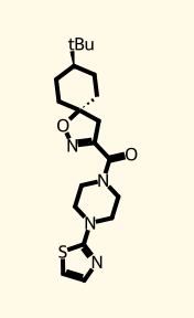 CC(C)(C)[C@H]1CC[C@]2(CC1)CC(C(=O)N1CCN(c3nccs3)CC1)=NO2